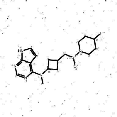 CN(c1ncnc2[nH]ccc12)C1CC(C[S+]([O-])N2CCC(F)CC2)C1